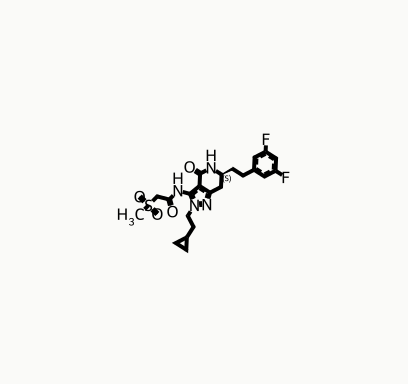 CS(=O)(=O)CC(=O)Nc1c2c(nn1CCC1CC1)C[C@H](CCc1cc(F)cc(F)c1)NC2=O